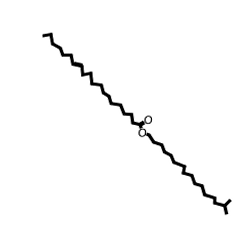 CCCCCCC=CCCCCCCCCCCCC(=O)OCCCCCCCCCCCCCCC(C)C